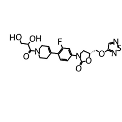 O=C([C@H](O)CO)N1CC=C(c2ccc(N3C[C@H](COc4cnsn4)OC3=O)cc2F)CC1